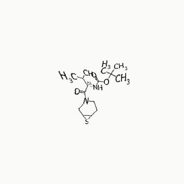 CC(C)[C@H](NC(=O)OC(C)(C)C)C(=O)N1CCC2SC2C1